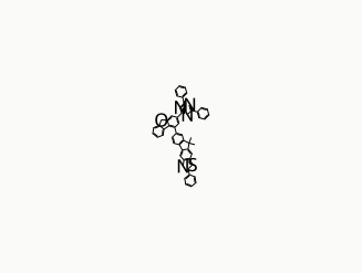 CC1(C)c2cc(-c3cc(-c4nc(-c5ccccc5)nc(-c5ccccc5)n4)cc4oc5ccccc5c34)ccc2-c2cc3nc(-c4ccccc4)sc3cc21